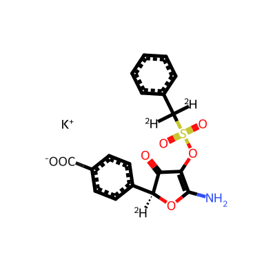 [2H]C([2H])(c1ccccc1)S(=O)(=O)OC1=C(N)O[C@@]([2H])(c2ccc(C(=O)[O-])cc2)C1=O.[K+]